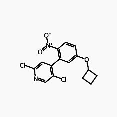 O=[N+]([O-])c1ccc(OC2CCC2)cc1-c1cc(Cl)ncc1Cl